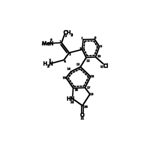 CN/C(C)=C(\CN)c1cccc(Cl)c1-c1ccc2c(c1)CC(=O)N2